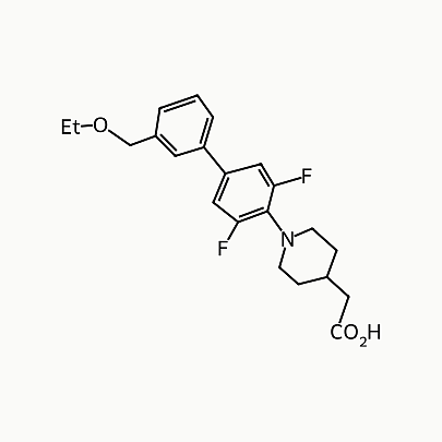 CCOCc1cccc(-c2cc(F)c(N3CCC(CC(=O)O)CC3)c(F)c2)c1